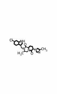 Cc1cn(-c2ccc3n(c2=O)CC(C)N(Cc2c[nH]c4cc(Cl)ccc24)C3=O)cn1